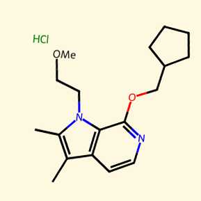 COCCn1c(C)c(C)c2ccnc(OCC3CCCC3)c21.Cl